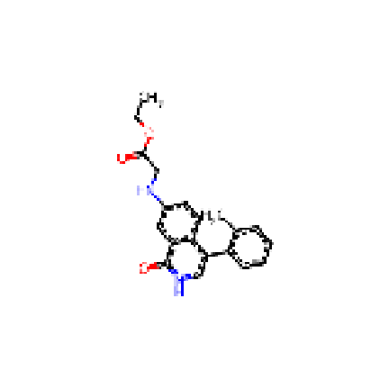 CCOC(=O)CNc1ccc2c(-c3ccccc3C)c[nH]c(=O)c2c1